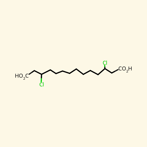 O=C(O)CC(Cl)CCCCCCCCC(Cl)CC(=O)O